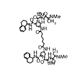 CN[C@@H](C)C(=O)N[C@H](C(=O)N1CC(NC(=O)CCCCCC(=O)N[C@H]2C[C@@H](C(=O)N[C@@H]3CCCc4ccccc43)N(C(=O)[C@@H](NC(=O)[C@H](C)NC)C(C)(C)C)C2)C[C@H]1C(=O)NC1CCCc2ccccc21)C(C)(C)C